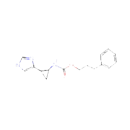 O=C(NC1CC1c1c[nH]cn1)OCCCc1ccccc1